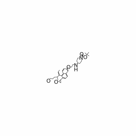 C/C=C(\c1c(C2CC2)ccc2cc(OCCNC3CCN(C(=O)OC(C)(C)C)CC3)ccc12)C(C=O)CCC=O